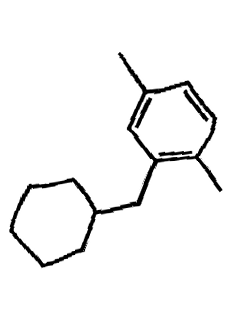 Cc1ccc(C)c(CC2CCCCC2)c1